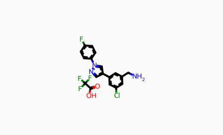 NCc1cc(Cl)cc(-c2cnn(-c3ccc(F)cc3)c2)c1.O=C(O)C(F)(F)F